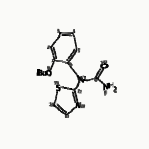 CC(C)COc1ccccc1N(C(N)=O)c1nccs1